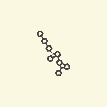 c1ccc(-c2ccc(-c3ccc(-n4c5ccccc5c5c(-c6ccc7c(c6)-c6ccccc6C7c6ccccc6)cccc54)cc3)cc2)cc1